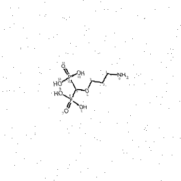 NCCCOC(P(=O)(O)O)P(=O)(O)O